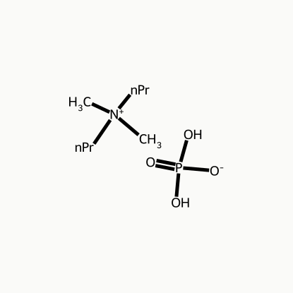 CCC[N+](C)(C)CCC.O=P([O-])(O)O